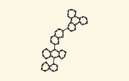 c1ccc2c(-c3c4ccccc4c(-c4ccc5ccc(-c6ccc7c8ccccc8c8ccccc8c7c6)cc5c4)c4ccccc34)cccc2c1